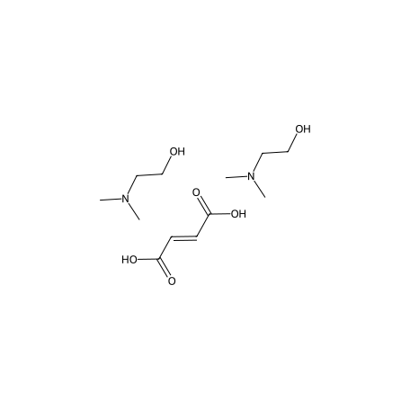 CN(C)CCO.CN(C)CCO.O=C(O)/C=C/C(=O)O